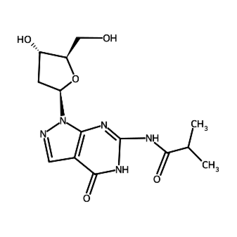 CC(C)C(=O)Nc1nc2c(cnn2[C@H]2C[C@H](O)[C@@H](CO)O2)c(=O)[nH]1